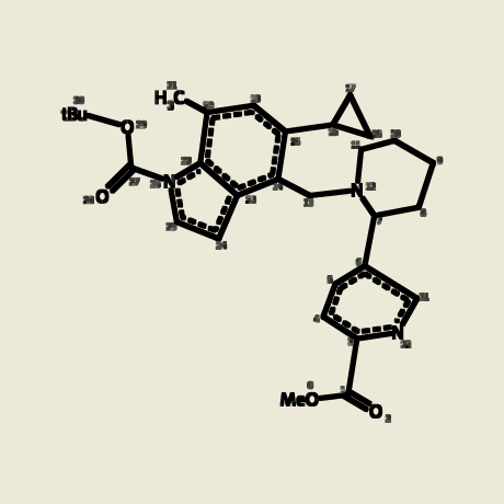 COC(=O)c1ccc(C2CCCCN2Cc2c(C3CC3)cc(C)c3c2ccn3C(=O)OC(C)(C)C)cn1